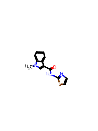 Cn1cc(C(=O)Nc2nccs2)c2ccccc21